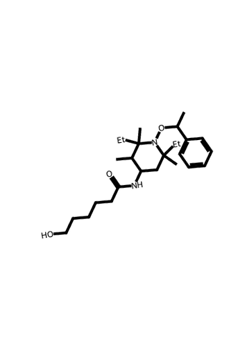 CCC1(C)CC(NC(=O)CCCCCO)C(C)C(C)(CC)N1OC(C)c1ccccc1